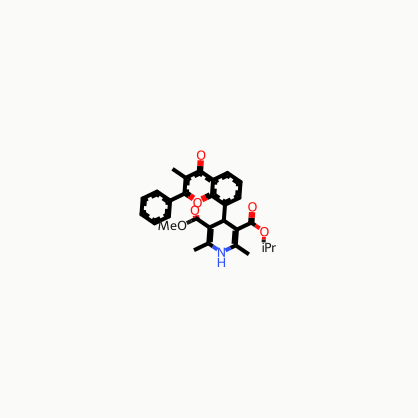 COC(=O)C1=C(C)NC(C)=C(C(=O)OC(C)C)C1c1cccc2c(=O)c(C)c(-c3ccccc3)oc12